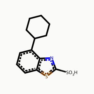 O=S(=O)(O)c1nc2c(C3CCCCC3)cccc2s1